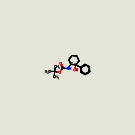 CC(C)(C)OC(=O)N[C@H]1CCCC[C@]1(O)c1ccccc1